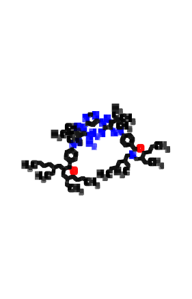 CCCCC(CC)CC(CC(CC)CCCC)C(=O)c1ccc(/N=N/c2c(C(C)(C)C)nn(-c3cc(-n4nc(C(C)(C)C)c(/N=N/c5ccc(C(=O)N(CC(CC)CCCC)CC(CC)CCCC)cc5)c4N)ncn3)c2N)cc1